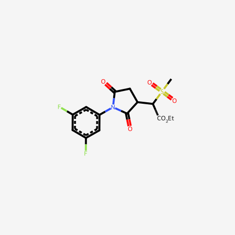 CCOC(=O)C(C1CC(=O)N(c2cc(F)cc(F)c2)C1=O)S(C)(=O)=O